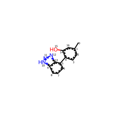 Cc1ccc(-c2cccc3[nH]nnc23)c(O)c1